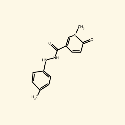 Cc1ccc(NNC(=O)c2ccc(=O)n(C)c2)cc1